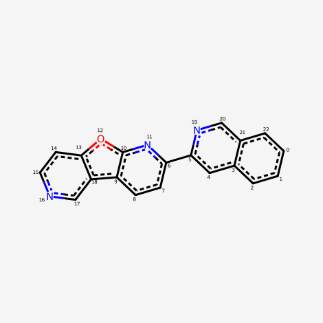 c1ccc2cc(-c3ccc4c(n3)oc3ccncc34)ncc2c1